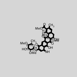 COC(=O)c1c(C)cc2c(c1O)[C@]1(O)C(=O)c3cc4c(c(O)c3C(=O)[C@]1(OC)[C@H](O)C2)C(=N)C=C(N[C@H]1O[C@@H](C)[C@H](OC)[C@@H](O)[C@H]1OC)C4=O